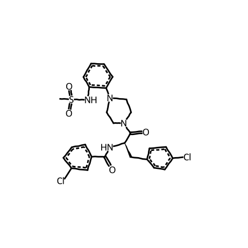 CS(=O)(=O)Nc1ccccc1N1CCN(C(=O)[C@@H](Cc2ccc(Cl)cc2)NC(=O)c2cccc(Cl)c2)CC1